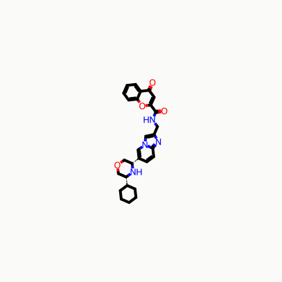 O=C(NCc1cn2cc([C@H]3COC[C@@H](C4CCCCC4)N3)ccc2n1)c1cc(=O)c2ccccc2o1